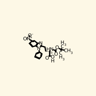 CC(C)(C)OC(=O)N[C@@H](CCc1nc2cc([N+](=O)[O-])ccc2n1-c1ccccc1)C(=O)O